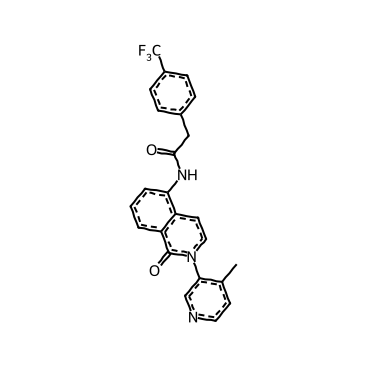 Cc1ccncc1-n1ccc2c(NC(=O)Cc3ccc(C(F)(F)F)cc3)cccc2c1=O